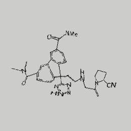 C=C(CNCCC1(c2nn[nH]n2)c2ccc(C(=O)NC)cc2-c2cc(C(=O)N(C)C)ccc21)N1CCCC1C#N